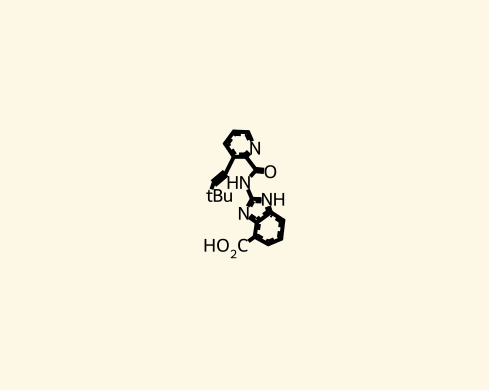 CC(C)(C)C#Cc1cccnc1C(=O)Nc1nc2c(C(=O)O)cccc2[nH]1